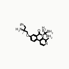 BC(B)(B)n1c(=O)c2cc(OC[C@@](C)(N)CC(C)C)ccc2c2ccnc(C)c21